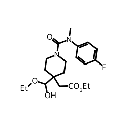 CCOC(=O)CC1(C(O)OCC)CCN(C(=O)N(C)c2ccc(F)cc2)CC1